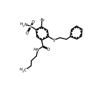 CCCCNC(=O)c1cc(S(N)(=O)=O)c(Br)cc1SCCc1ccccc1